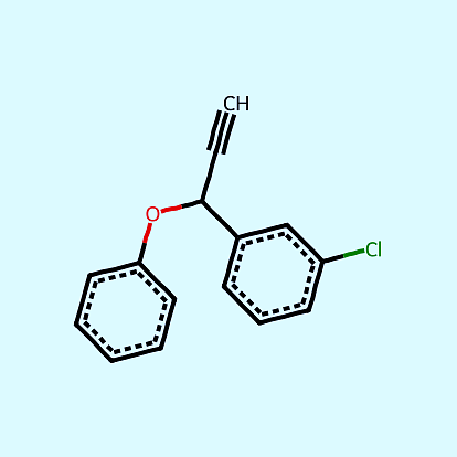 C#CC(Oc1ccccc1)c1cccc(Cl)c1